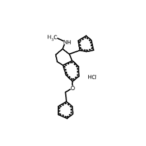 CNC1CCc2cc(OCc3ccccc3)ccc2C1c1ccccc1.Cl